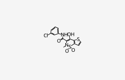 CN1C(C(=O)Nc2cccc(Cl)c2)=C(O)c2sccc2S1(=O)=O